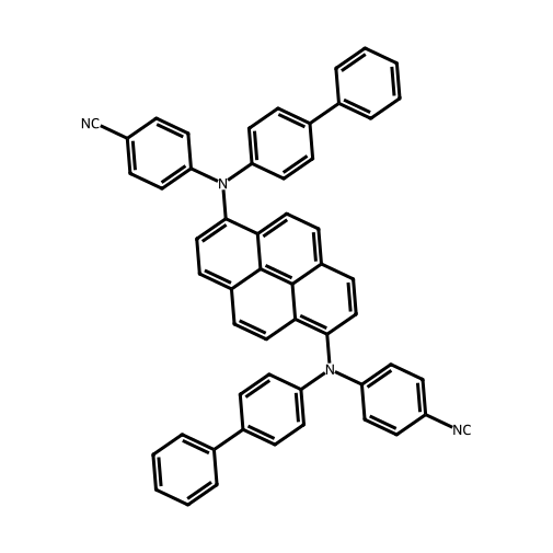 [C-]#[N+]c1ccc(N(c2ccc(-c3ccccc3)cc2)c2ccc3ccc4c(N(c5ccc(C#N)cc5)c5ccc(-c6ccccc6)cc5)ccc5ccc2c3c54)cc1